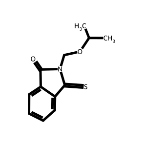 CC(C)OCN1C(=O)c2ccccc2C1=S